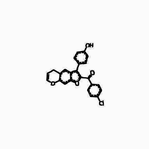 O=C(c1ccc(Cl)cc1)c1oc2cc3c(cc2c1-c1ccc(O)cc1)CC=CO3